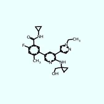 CCn1cc(-c2cc(-c3cc(C(=O)NC4CC4)c(F)cc3C)cnc2NC2(CO)CC2)cn1